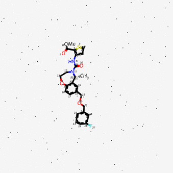 COC(=O)c1sccc1NC(=O)N1CCOc2ccc(COCc3cccc(F)c3)cc2[C@H]1C